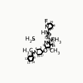 Cc1c(OC2CCN(C(C)c3ccccc3)CC2)cnc(N(C)SONc2cccc(F)n2)c1F.S